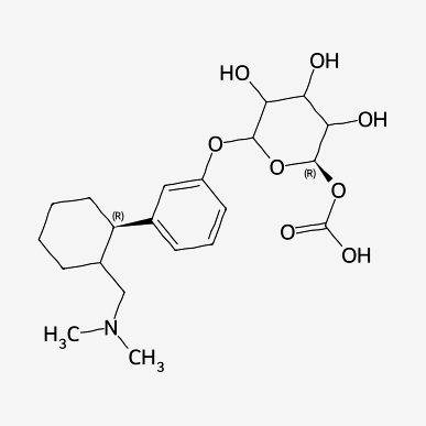 CN(C)CC1CCCC[C@H]1c1cccc(OC2O[C@H](OC(=O)O)C(O)C(O)C2O)c1